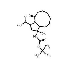 CC(C)(C)OC(=O)NC1(O)CC(C(=O)O)N2C(=O)CCCCCCC21